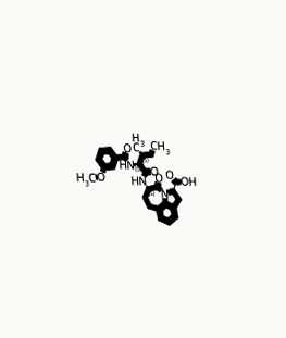 CC[C@H](C)[C@H](NC(=O)c1cccc(OC)c1)C(=O)N[C@H]1CCc2cccc3c2N(C1=O)[C@H](C(=O)O)C3